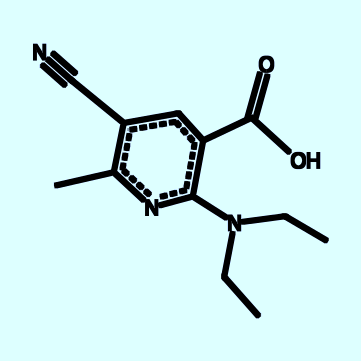 CCN(CC)c1nc(C)c(C#N)cc1C(=O)O